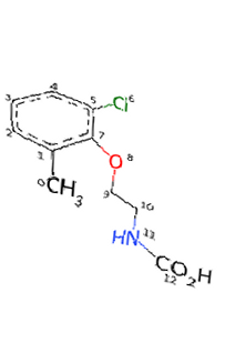 Cc1cccc(Cl)c1OCCNC(=O)O